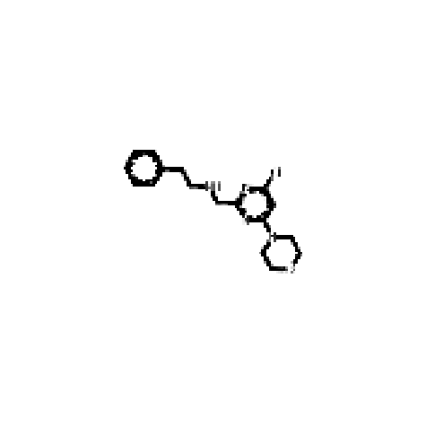 Clc1cc(N2CCOCC2)nc(CNCCc2ccccc2)n1